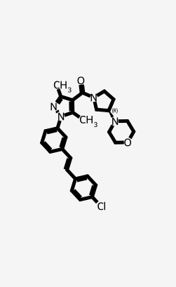 Cc1nn(-c2cccc(C=Cc3ccc(Cl)cc3)c2)c(C)c1C(=O)N1CC[C@@H](N2CCOCC2)C1